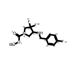 CC(C)(C)OC(=O)N1CC(NCc2ccc(F)cc2)C(F)(F)C1